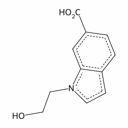 O=C(O)c1ccc2ccn(CCO)c2c1